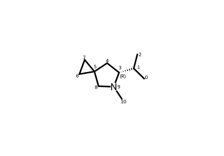 CC(C)[C@H]1CC2(CC2)CN1C